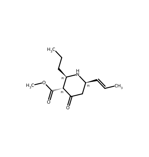 CC=C[C@H]1CC(=O)[C@H](C(=O)OC)[C@@H](CCC)N1